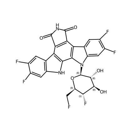 O=C1NC(=O)c2c1c1c3cc(F)c(F)cc3[nH]c1c1c2c2cc(F)c(F)cc2n1[C@@H]1O[C@H](CF)[C@@H](F)[C@H](O)[C@H]1O